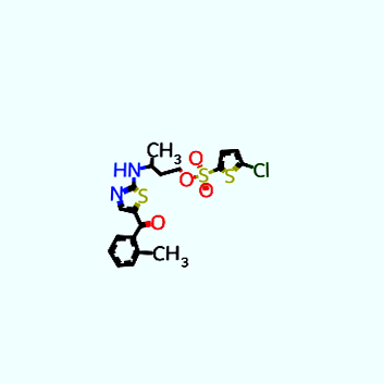 Cc1ccccc1C(=O)c1cnc(NC(C)CCOS(=O)(=O)c2ccc(Cl)s2)s1